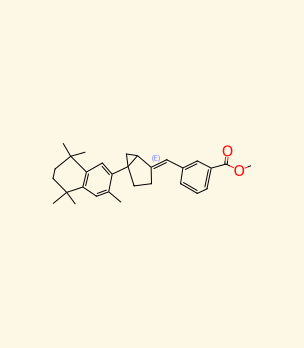 COC(=O)c1cccc(/C=C2\CCC3(c4cc5c(cc4C)C(C)(C)CCC5(C)C)CC23)c1